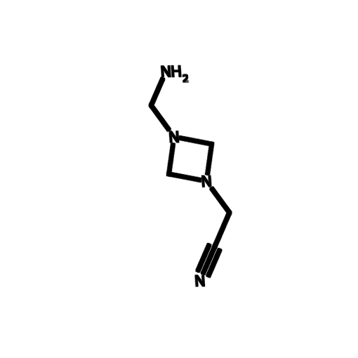 N#CCN1CN(CN)C1